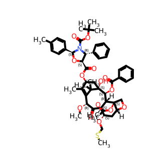 CO[C@H]1C(=O)[C@]2(C)[C@@H](OCSC)C[C@H]3OC[C@@]3(OC(C)=O)[C@H]2[C@H](OC(=O)c2ccccc2)[C@]2(O)C[C@H](OC(=O)[C@H]3O[C@@H](c4ccc(C)cc4)N(C(=O)OC(C)(C)C)[C@@H]3c3ccccc3)C(C)=C1C2(C)C